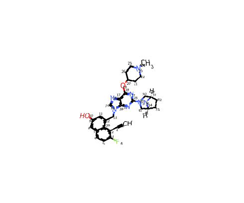 C#Cc1c(F)ccc2cc(O)cc(Cn3cnc4c(OC5CCN(C)CC5)nc(N5C[C@H]6CC[C@@H](C5)N6)nc43)c12